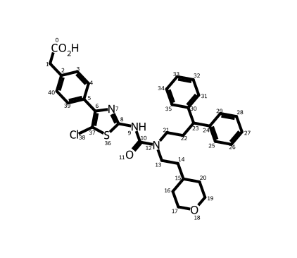 O=C(O)Cc1ccc(-c2nc(NC(=O)N(CCC3CCOCC3)CCC(c3ccccc3)c3ccccc3)sc2Cl)cc1